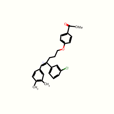 COC(=O)c1ccc(OCCC/C(=C/c2ccc(C)c(C)c2)c2cccc(Cl)c2)cc1